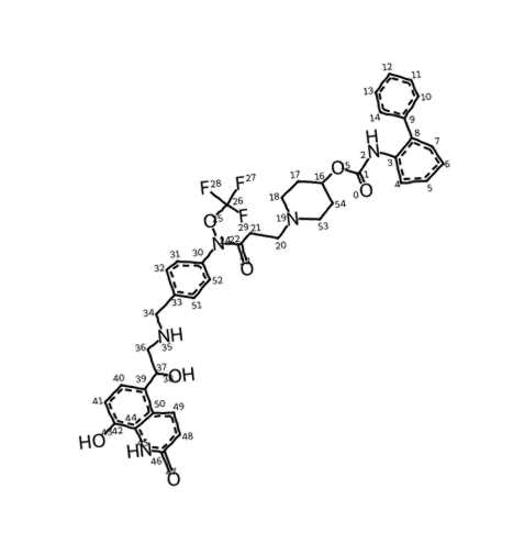 O=C(Nc1ccccc1-c1ccccc1)OC1CCN(CCC(=O)N(OC(F)(F)F)c2ccc(CNCC(O)c3ccc(O)c4[nH]c(=O)ccc34)cc2)CC1